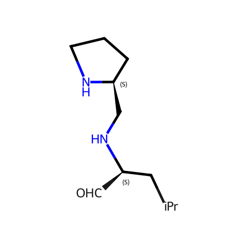 CC(C)C[C@@H](C=O)NC[C@@H]1CCCN1